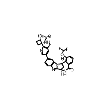 C[C@H]1CC[C@]1(N[S@@+]([O-])C(C)(C)C)c1ncc(-c2ccc3nc4n(c3c2)[C@@H]2C[C@H]4NC(=O)c3cccc(OC(F)F)c32)cc1F